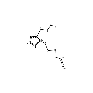 CCCCc1cnnn1CCCCC=O